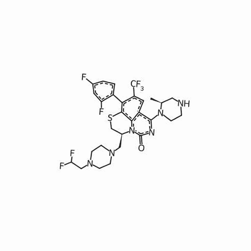 C[C@H]1CNCCN1c1nc(=O)n2c3c(c(-c4ccc(F)cc4F)c(C(F)(F)F)cc13)SC[C@@H]2CN1CCN(CC(F)F)CC1